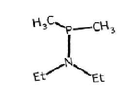 CCN(CC)P(C)C